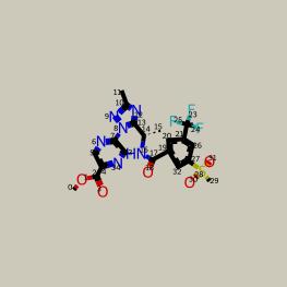 COC(=O)c1cnc(-n2nc(C)nc2[C@H](C)NC(=O)c2cc(C(F)(F)F)cc(S(C)(=O)=O)c2)cn1